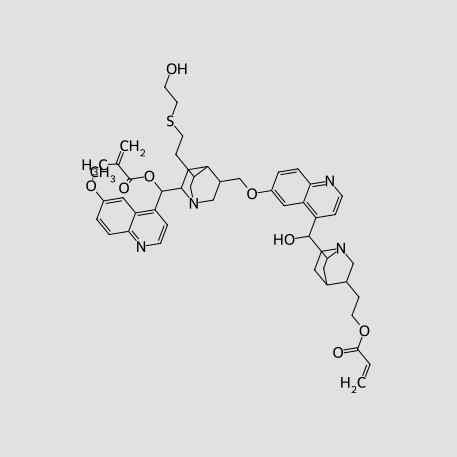 C=CC(=O)OCCC1CN2CCC1CC2C(O)c1ccnc2ccc(OCC3CN4CC(CCSCCO)C3CC4C(OC(=O)C(=C)C)c3ccnc4ccc(OC)cc34)cc12